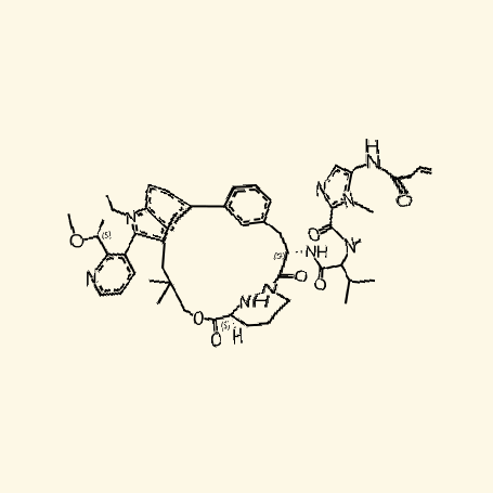 C=CC(=O)Nc1cnc(C(=O)N(C)C(C(=O)N[C@H]2Cc3cccc(c3)-c3ccc4c(c3)c(c(-c3cccnc3[C@H](C)OC)n4CC)CC(C)(C)COC(=O)[C@@H]3CCCN(N3)C2=O)C(C)C)n1C